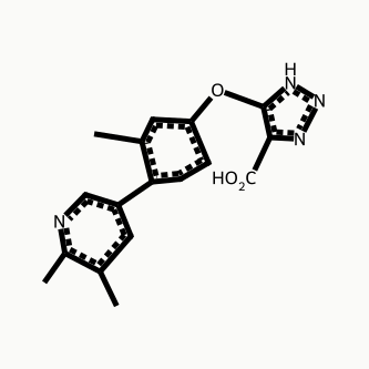 Cc1cc(Oc2[nH]nnc2C(=O)O)ccc1-c1cnc(C)c(C)c1